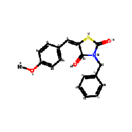 CCOc1ccc(/C=C2/SC(=O)N(Cc3ccccc3)C2=O)cc1